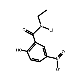 CCN(Cl)C(=O)c1cc([N+](=O)[O-])ccc1O